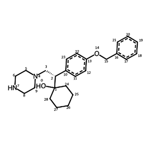 OC1([C@H](CN2CCNCC2)c2ccc(OCc3ccccc3)cc2)CCCCC1